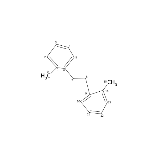 Cc1ccccc1CCc1ccccc1C